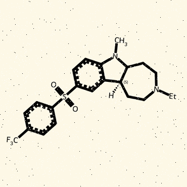 CCN1CCC2[C@@H](CC1)c1cc(S(=O)(=O)c3ccc(C(F)(F)F)cc3)ccc1N2C